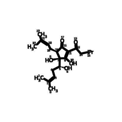 CC(C)=CC[C@@H](O)[C@@]1(O)C(O)=C(C(=O)CC(C)C)C(=O)[C@@H]1CC=C(C)C